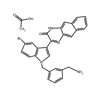 CC(=O)O.NCc1cccc(Cn2cc(-c3nc4cc5ccccc5cc4[nH]c3=O)c3cc(Br)ccc32)c1